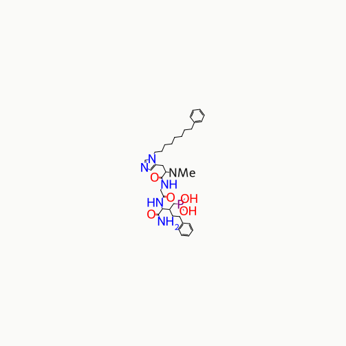 CNC(Cc1cncn1CCCCCCCCc1ccccc1)C(=O)NCC(=O)NC(C(N)=O)C(CCc1ccccc1)CP(O)O